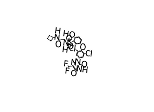 O=C(CNS(=O)(=O)c1cc(Oc2c(Cl)cc(-n3nc(C(F)F)c(=O)[nH]c3=O)cc2Cl)ccc1O)NC1CCC1